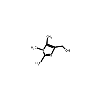 Cc1nc(CO)c(C)n1C